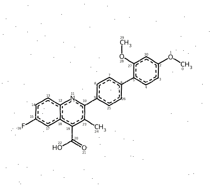 COc1ccc(-c2ccc(-c3nc4ccc(F)cc4c(C(=O)O)c3C)cc2)c(OC)c1